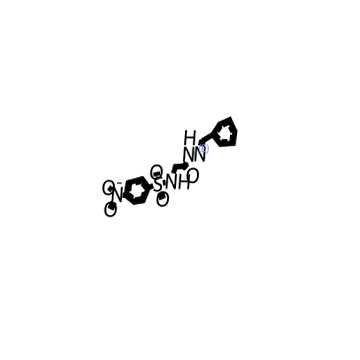 O=C(CNS(=O)(=O)c1ccc([N+](=O)[O-])cc1)N/N=C/c1ccccc1